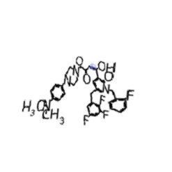 CN(C)c1ccc(N2CCN(C(=O)C(=O)/C=C(/O)c3cc(Cc4cc(F)cc(F)c4F)cn(Cc4ccccc4F)c3=O)CC2)cc1